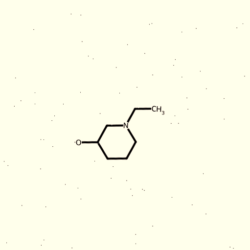 CCN1CCCC([O])C1